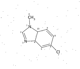 CN1C=NC2C=C(Cl)C=CC21